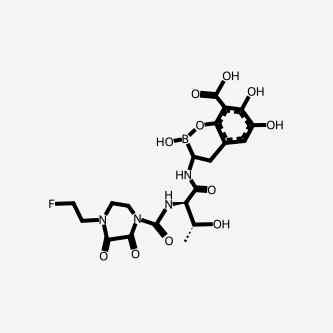 C[C@@H](O)[C@@H](NC(=O)N1CCN(CCF)C(=O)C1=O)C(=O)NC1Cc2cc(O)c(O)c(C(=O)O)c2OB1O